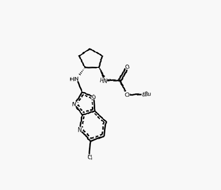 CC(C)(C)OC(=O)N[C@@H]1CCC[C@H]1Nc1nc2nc(Cl)ccc2o1